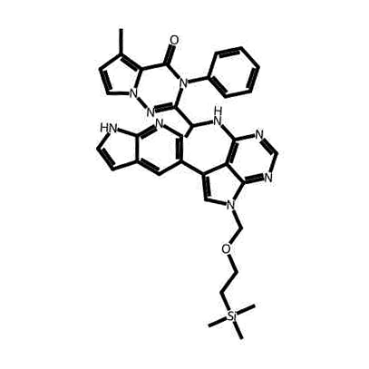 Cc1ccn2nc(C(C)Nc3ncnc4c3c(-c3cnc5[nH]ccc5c3)cn4COCC[Si](C)(C)C)n(-c3ccccc3)c(=O)c12